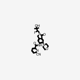 CC(C)(O)C(F)CN1Cc2cc(NC(=O)c3cccc(C#N)n3)c(N3CCOCC3)cc2C1=O